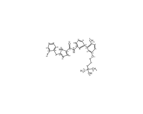 Cc1ccc(OCCCC(C)(C)O)cc1-c1ccnc(NC(=O)c2nnc(Cc3ccccc3F)[nH]2)c1